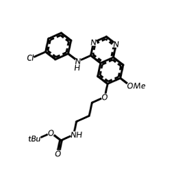 COc1cc2ncnc(Nc3cccc(Cl)c3)c2cc1OCCCNC(=O)OC(C)(C)C